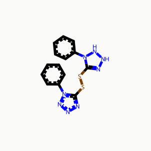 c1ccc(N2NNN=C2SSc2nnnn2-c2ccccc2)cc1